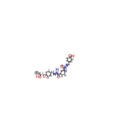 CC(C)(C)C(O)COc1ccc(/C=N/NC(=O)c2cccc(C(=O)N/N=C/c3ccc(O)cc3)c2)cc1